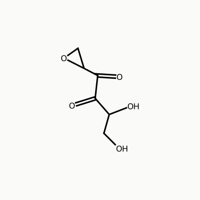 O=C(C(=O)C1CO1)C(O)CO